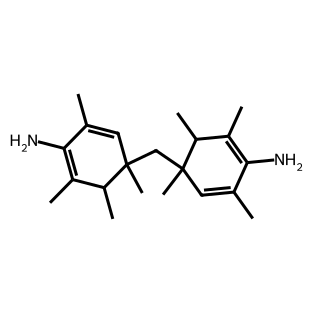 CC1=CC(C)(CC2(C)C=C(C)C(N)=C(C)C2C)C(C)C(C)=C1N